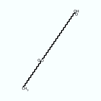 CCCCCCC=CCCCCCCCCCCCC(=O)OCCCCCCCCCCCCCCCCCCCCCCCCCCCCCCCCCC(=O)O